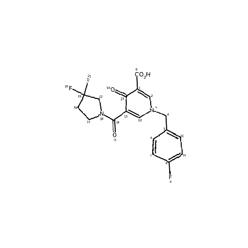 O=C(O)c1cn(Cc2ccc(F)cc2)cc(C(=O)N2CCC(F)(F)C2)c1=O